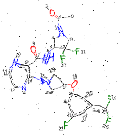 CC(=O)N1CC(NC(=O)c2nccnc2N2CC(Oc3cc(F)cc(C(F)F)c3)C2)C(F)(F)C1